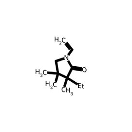 C=CN1CC(C)(C)C(C)(CC)C1=O